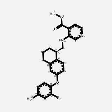 COC(=O)c1ccncc1NC[C@@H]1CCCc2cc(Oc3ccc(C)cc3F)ccc21